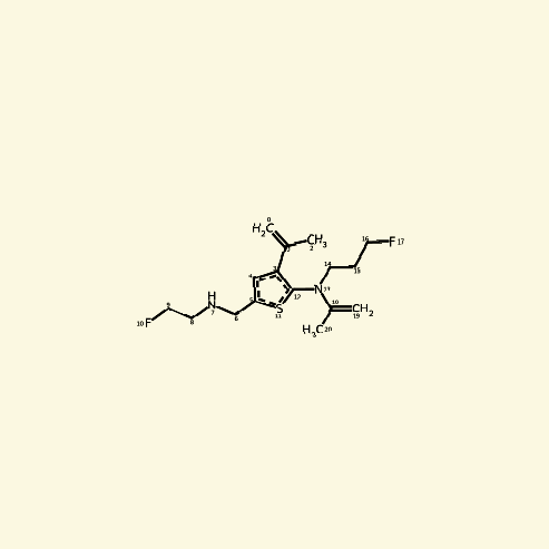 C=C(C)c1cc(CNCCF)sc1N(CCCF)C(=C)C